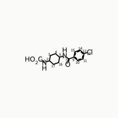 O=C(O)NC1CCC(NC(=O)c2ccc(Cl)cc2)CC1